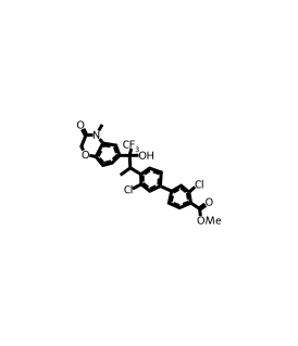 COC(=O)c1ccc(-c2ccc(C(C)C(O)(c3ccc4c(c3)N(C)C(=O)CO4)C(F)(F)F)c(Cl)c2)cc1Cl